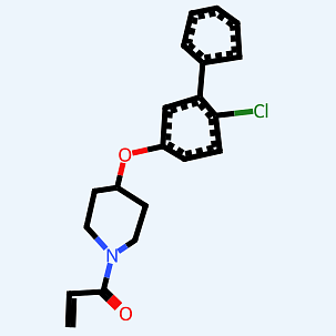 C=CC(=O)N1CCC(Oc2ccc(Cl)c(-c3ccccc3)c2)CC1